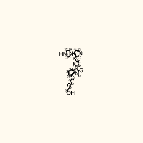 Cn1c(=O)n(-c2nc(Cc3cnccc3N3CCNCC3)cs2)c2cccc(OCCOCCO)c21